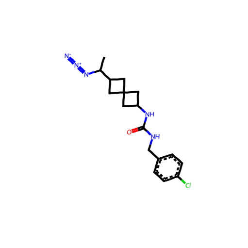 CC(N=[N+]=[N-])C1CC2(CC(NC(=O)NCc3ccc(Cl)cc3)C2)C1